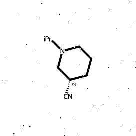 CC(C)N1CCC[C@H](C#N)C1